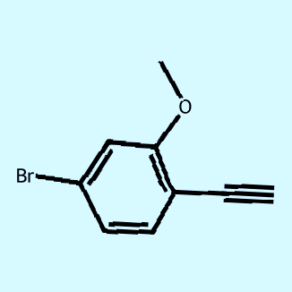 C#Cc1ccc(Br)cc1OC